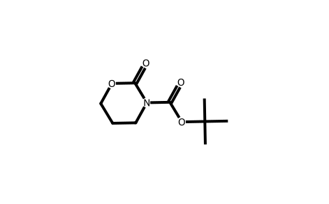 CC(C)(C)OC(=O)N1CCCOC1=O